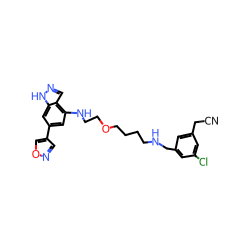 N#CCc1cc(Cl)cc(CNCCCCOCCNc2cc(-c3cnoc3)cc3[nH]ncc23)c1